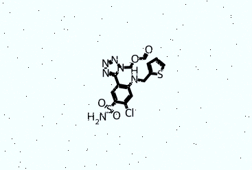 NS(=O)(=O)c1cc(-c2nnnn2COC=O)c(NCc2cccs2)cc1Cl